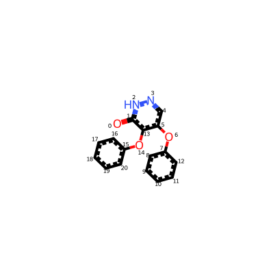 O=c1[nH]ncc(Oc2ccccc2)c1Oc1ccccc1